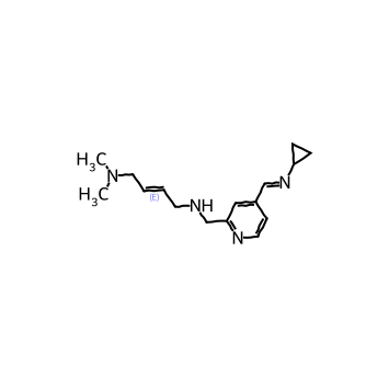 CN(C)C/C=C/CNCc1cc(C=NC2CC2)ccn1